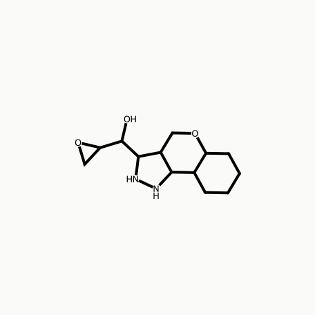 OC(C1CO1)C1NNC2C3CCCCC3OCC12